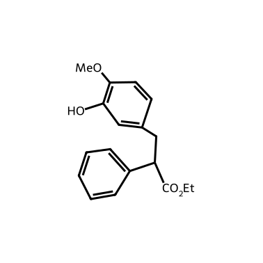 CCOC(=O)C(Cc1ccc(OC)c(O)c1)c1ccccc1